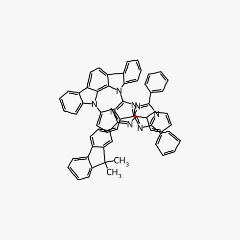 CC1(C)c2ccccc2-c2ccc(-c3nc(C4C=CC=CC4)nc(-n4c5ccccc5c5ccc6c7ccccc7n(-c7cccc(-c8nc(-c9ccccc9)nc(-c9ccccc9)n8)c7)c6c54)n3)cc21